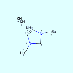 CCCCN1C=CN(C)C1.[KH].[KH].[KH]